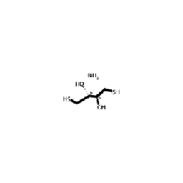 O[C@H](CS)[C@@H](O)CS.[BiH3]